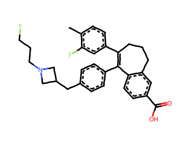 Cc1ccc(C2=C(c3ccc(CC4CN(CCCF)C4)cc3)c3ccc(C(=O)O)cc3CCC2)cc1F